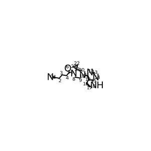 N#CCCCC(=O)N1CCN(c2ncnc3[nH]ccc23)CC12CC2